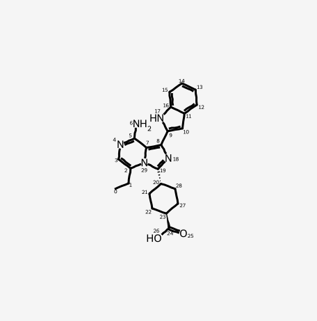 CCc1cnc(N)c2c(-c3cc4ccccc4[nH]3)nc([C@H]3CC[C@H](C(=O)O)CC3)n12